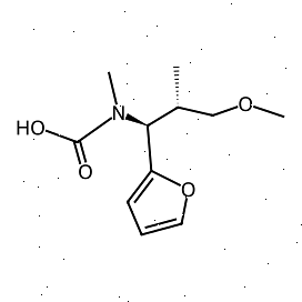 COC[C@@H](C)[C@@H](c1ccco1)N(C)C(=O)O